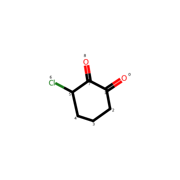 O=C1CCCC(Cl)C1=O